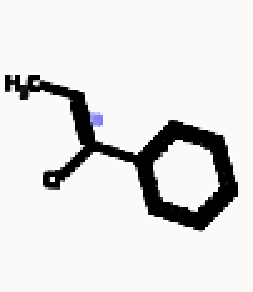 C/C=C(\Cl)c1ccccc1